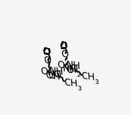 CCCCOC(=O)NC(CCOCc1ccccc1)C(=O)O.CCCCOC(=O)N[C@@H](CCOCc1ccccc1)C(N)=O